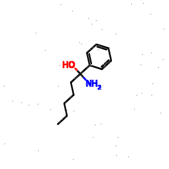 CCCCCC(N)(O)c1ccccc1